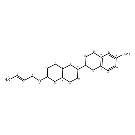 CC=CCOC1CCC2CC(C3CCc4cc(OC)ccc4C3)CCC2C1